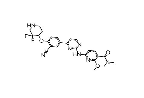 COc1nc(Nc2nccc(-c3ccc(OC4CCNCC4(F)F)c(C#N)c3)n2)ccc1C(=O)N(C)C